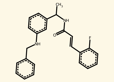 CC(NC(=O)C=Cc1ccccc1F)c1cccc(NCc2ccccc2)c1